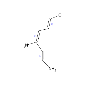 N/C=C/C(N)=C\C=C\O